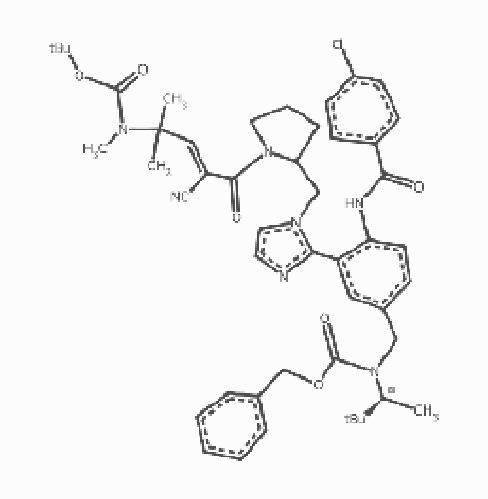 C[C@H](N(Cc1ccc(NC(=O)c2ccc(Cl)cc2)c(-c2nccn2CC2CCCN2C(=O)C(C#N)=CC(C)(C)N(C)C(=O)OC(C)(C)C)c1)C(=O)OCc1ccccc1)C(C)(C)C